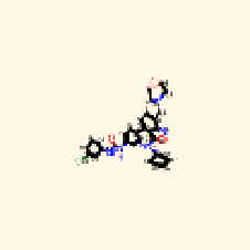 O=C(Nc1ccc(-c2ccc(CN3CCOCC3)c3noc(Nc4ccccc4)c23)cc1)Nc1cccc(Cl)c1